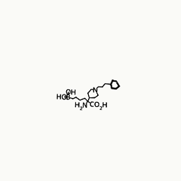 NC(CCCCB(O)O)(C(=O)O)C1CCN(CCCc2ccccc2)CC1